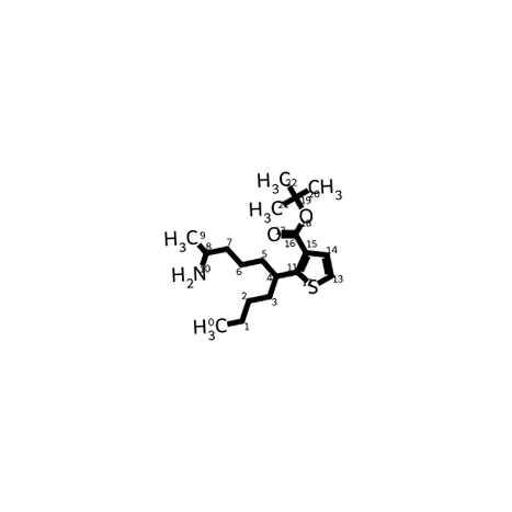 CCCCC(CCCC(C)N)c1sccc1C(=O)OC(C)(C)C